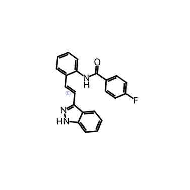 O=C(Nc1ccccc1/C=C/c1n[nH]c2ccccc12)c1ccc(F)cc1